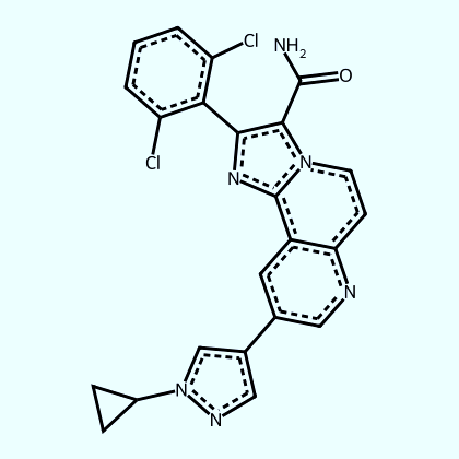 NC(=O)c1c(-c2c(Cl)cccc2Cl)nc2c3cc(-c4cnn(C5CC5)c4)cnc3ccn12